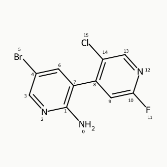 Nc1ncc(Br)cc1-c1cc(F)ncc1Cl